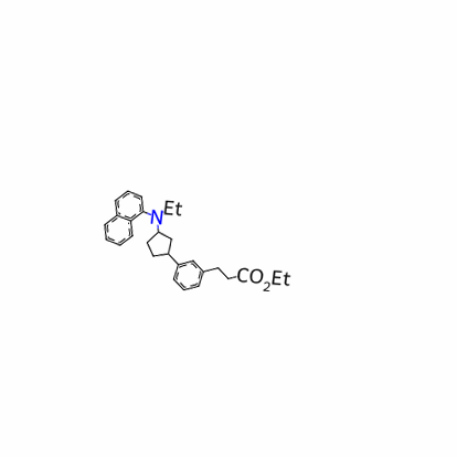 CCOC(=O)CCc1cccc(C2CCC(N(CC)c3cccc4ccccc34)C2)c1